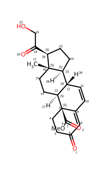 COC(=O)[C@]12CCC(=O)C=C1C=C[C@@H]1[C@@H]2CC[C@]2(C)[C@@H](C(=O)CO)CC[C@@H]12